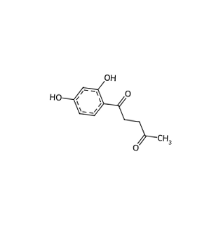 CC(=O)CCC(=O)c1ccc(O)cc1O